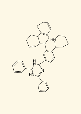 C1=CCC(C2=NC(c3ccc(C4CCCCN4)c(C4CC5=C(CCC=C5)C5CCC=CC54)c3)NC(c3ccccc3)N2)C=C1